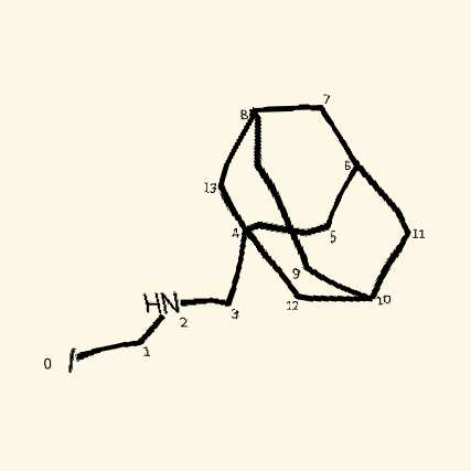 ICNCC12CC3CC(CC(C3)C1)C2